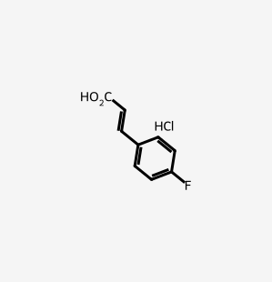 Cl.O=C(O)/C=C/c1ccc(F)cc1